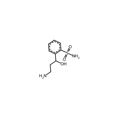 NCCC(O)c1ccccc1S(N)(=O)=O